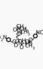 CC(OC(=O)OCc1ccc([N+](=O)[O-])cc1)[C@H]1C(=O)N2C(C(=O)OCc3ccc([N+](=O)[O-])cc3)=C(SC3CC(C(=O)N(C)C)N(C)C3)C[C@@H]12